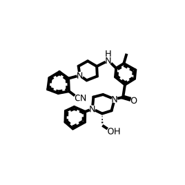 Cc1ccc(C(=O)N2CCN(c3ccccc3)[C@@H](CO)C2)cc1NC1CCN(c2ccccc2C#N)CC1